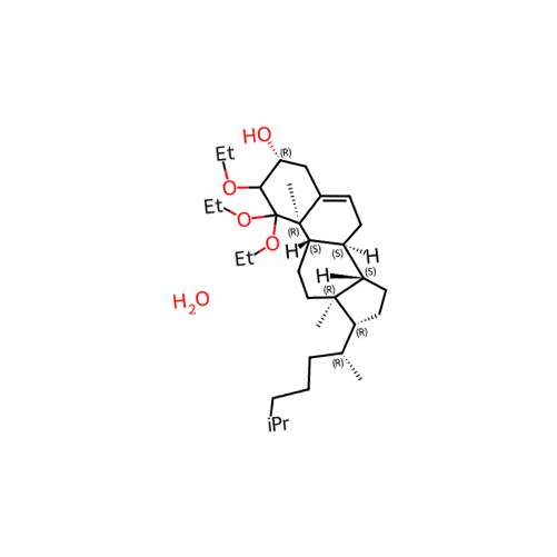 CCOC1[C@H](O)CC2=CC[C@H]3[C@@H]4CC[C@H]([C@H](C)CCCC(C)C)[C@@]4(C)CC[C@@H]3[C@@]2(C)C1(OCC)OCC.O